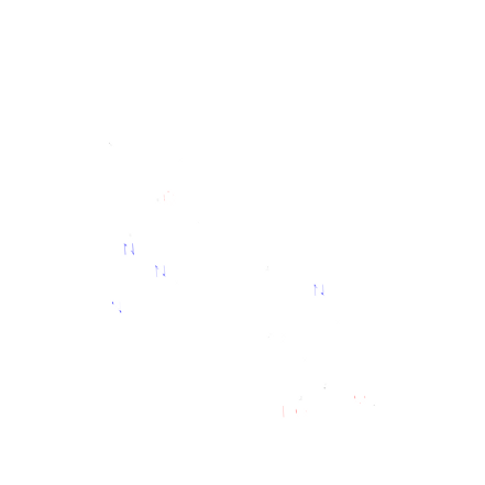 Cc1nc(-c2ccc(OCC(C)C)c(-n3cncn3)c2)sc1C(=O)O